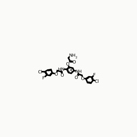 NCC(=O)OC1CC2(NC(=O)COc3ccc(Cl)c(F)c3)CCC1(NC(=O)COc1ccc(Cl)c(F)c1)CC2